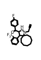 C#CCN1NC(C(=O)c2ccc(F)cc2)C(c2ccccc2C(F)(F)F)C12CCCCCCCC2